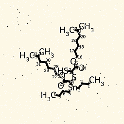 CCC[CH2][Sn]([CH2]CCC)[C@H](SC(S)C(=O)OCCCCCC(C)C)C(=O)OCCCCCC(C)C